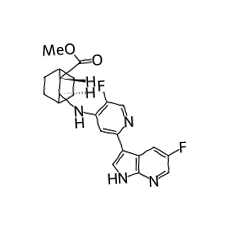 COC(=O)[C@H]1C2CCC(CC2)[C@@H]1Nc1cc(-c2c[nH]c3ncc(F)cc23)ncc1F